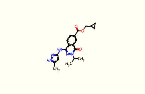 Cc1cc(Nc2nn(C(C)C)c(=O)c3cc(C(=O)OCC4CC4)ccc23)n[nH]1